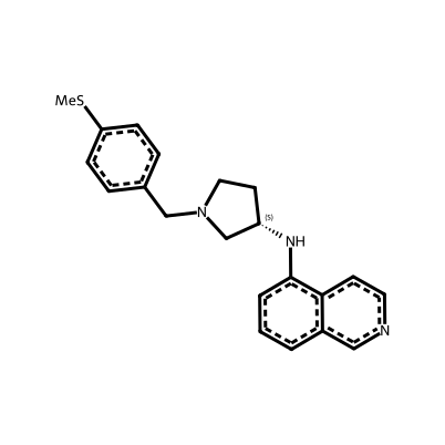 CSc1ccc(CN2CC[C@H](Nc3cccc4cnccc34)C2)cc1